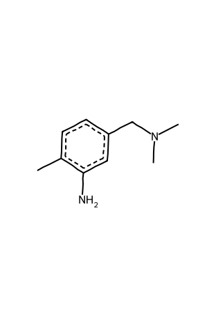 Cc1ccc(CN(C)C)cc1N